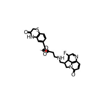 O=C1CSc2ccc(N3CC4(CCNCC5Cn6c(=O)ccc7ncc(F)c5c76)OC3O4)cc2N1